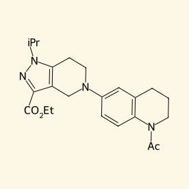 CCOC(=O)c1nn(C(C)C)c2c1CN(c1ccc3c(c1)CCCN3C(C)=O)CC2